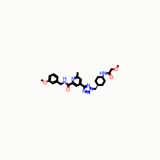 COCC(=O)N[C@H]1CC[C@@H](Cn2nnc(-c3cc(C)nc(C(=O)NCc4cccc(OC)c4)c3)n2)CC1